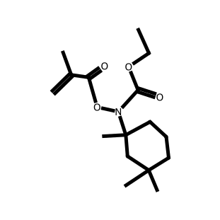 C=C(C)C(=O)ON(C(=O)OCC)C1(C)CCCC(C)(C)C1